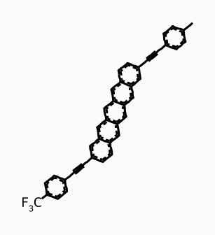 Cc1ccc(C#Cc2ccc3cc4cc5cc6cc(C#Cc7ccc(C(F)(F)F)cc7)ccc6cc5cc4cc3c2)cc1